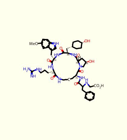 COc1ccc2[nH]cc(C[C@@H]3NC(=O)[C@@H](C[C@H]4CC[C@@H](O)CC4)NC(=O)[C@@H]4C[C@@H](O)CN4C(=O)[C@@H](NC(=O)C(Cc4ccccc4)NCC(=O)O)CCCNC(=O)[C@H](CCCNC(=N)N)NC3=O)c2c1